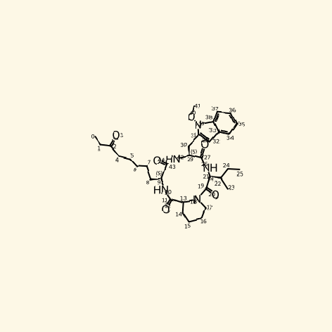 CCC(=O)CCCCC[C@@H]1NC(=O)C2CCCCN2C(=O)[C@H](C(C)CC)NC(=O)[C@H](Cc2cc3ccccc3n2OC)NC1=O